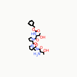 CC(O)C(N)C(=O)N1CC2(CCCN2C(=O)C2CCCN2C(=O)C(NC(=O)OCc2ccccc2)C(C)O)C1=O